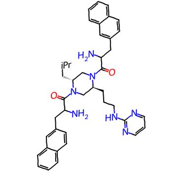 CC(C)C[C@@H]1CN(C(=O)C(N)Cc2ccc3ccccc3c2)[C@@H](CCCNc2ncccn2)CN1C(=O)C(N)Cc1ccc2ccccc2c1